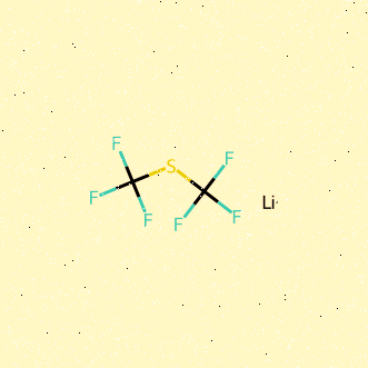 FC(F)(F)SC(F)(F)F.[Li]